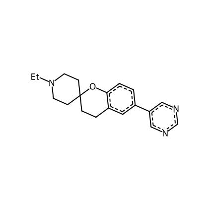 CCN1CCC2(CCc3cc(-c4cncnc4)ccc3O2)CC1